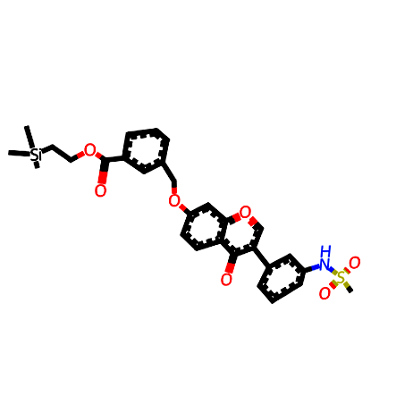 C[Si](C)(C)CCOC(=O)c1cccc(COc2ccc3c(=O)c(-c4cccc(NS(C)(=O)=O)c4)coc3c2)c1